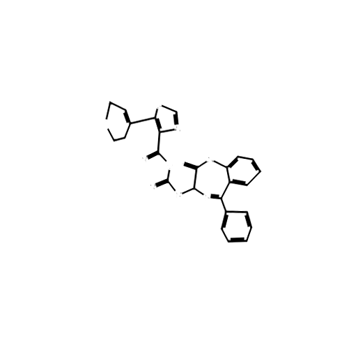 N=C(NC1N=C(c2ccccc2)c2ccccc2NC1=O)OC(=N)c1ncsc1C1=CCOCC1